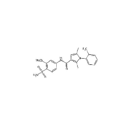 COc1cc(NC(=O)c2cc(C)n(-c3ccccc3C(F)(F)F)c2C)ccc1S(N)(=O)=O